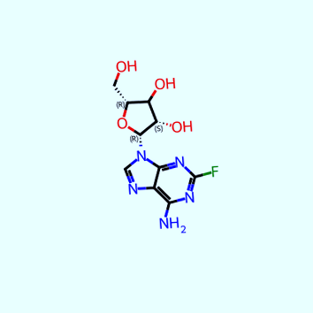 Nc1nc(F)nc2c1ncn2[C@@H]1O[C@H](CO)C(O)[C@@H]1O